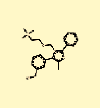 Cc1nc(-c2ccccc2)n(COCCS(C)(C)C)c1-c1cccc(CO)c1